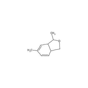 CC1=CC2C(C=C1)COC2C